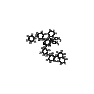 C[Si]1(C)c2ccccc2-c2c(-c3cccc(-c4ccccc4)c3)nc(-c3cccc(-c4cccc(-c5cccc6ccccc56)c4)c3)nc21